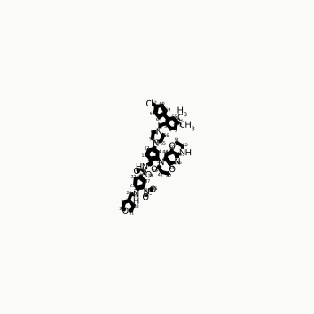 CC1(C)CCC(CN2CCN(c3ccc(C(=O)NS(=O)(=O)c4ccc(NCC5CCOCC5)c([N+](=O)[O-])c4)c(N4CCCOc5nc6c(cc54)OCCN6)c3)CC2)=C(c2ccc(Cl)cc2)C1